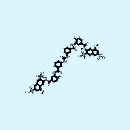 COc1cc(S(=O)(=O)O)cc2cc(S(=O)(=O)O)c(NC(=O)c3ccc(C)c(NC(=O)c4cccc(NC(=O)Nc5cccc(C(=O)Nc6cc(C(=O)Nc7cc8c(OC)cc(S(=O)(=O)O)cc8cc7S(=O)(=O)O)ccc6C)c5)c4)c3)cc12